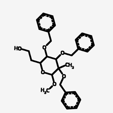 COC1OC(CCO)C(OCc2ccccc2)C(OCc2ccccc2)C1(C)OCc1ccccc1